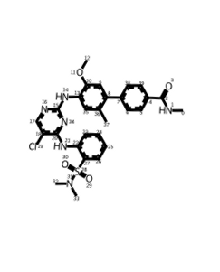 CNC(=O)c1ccc(-c2cc(OC)c(Nc3ncc(Cl)c(Nc4ccccc4S(=O)(=O)N(C)C)n3)cc2C)cc1